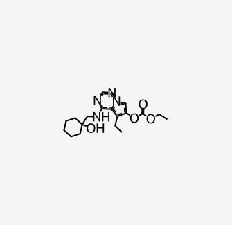 CCOC(=O)Oc1cn2ncnc(NCC3(O)CCCCC3)c2c1CC